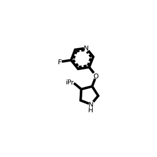 CC(C)C1CNCC1Oc1cncc(F)c1